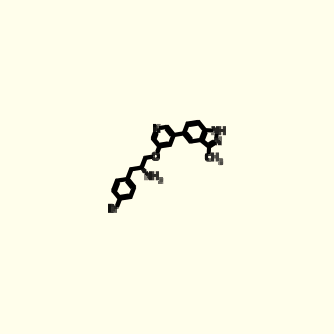 Cc1n[nH]c2ccc(-c3cncc(OC[C@@H](N)Cc4ccc(Br)cc4)c3)cc12